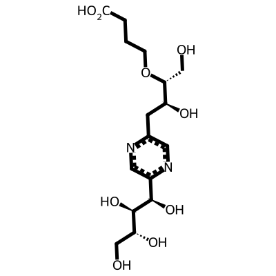 O=C(O)CCCO[C@H](CO)[C@@H](O)Cc1cnc([C@@H](O)[C@H](O)[C@H](O)CO)cn1